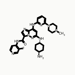 CN1CCN(c2cccc(Nc3cc(N[C@H]4CC[C@H](N)CC4)nn4c(C(=O)Nc5ccncc5F)cnc34)n2)CC1